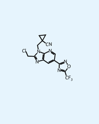 N#CC1(Cn2c(CCl)nc3cc(-c4noc(C(F)(F)F)n4)cnc32)CC1